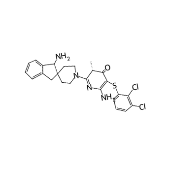 C[C@@H]1C(=O)C(Sc2cccc(Cl)c2Cl)=C(N)N=C1N1CCC2(CC1)Cc1ccccc1C2N